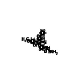 COc1ccc(-c2cc(-c3cccc(NC(=O)CCN)c3)c(C#N)c(NC(=O)c3ccccc3)n2)c(O)c1